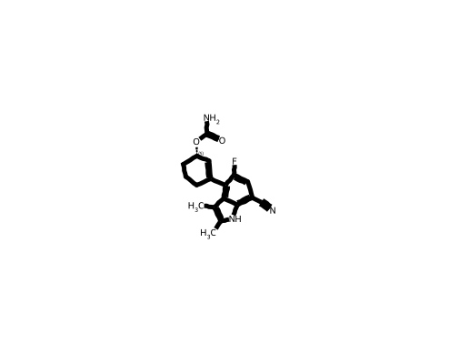 Cc1[nH]c2c(C#N)cc(F)c(C3=C[C@@H](OC(N)=O)CCC3)c2c1C